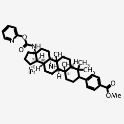 COC(=O)c1ccc(C2CC[C@]3(C)[C@H]4CC[C@@H]5[C@H]6[C@H](C(C)C)CC[C@]6(NC(=O)Oc6ccccn6)CC[C@@]5(N)[C@]4(C)CC[C@H]3C2(C)C)cc1